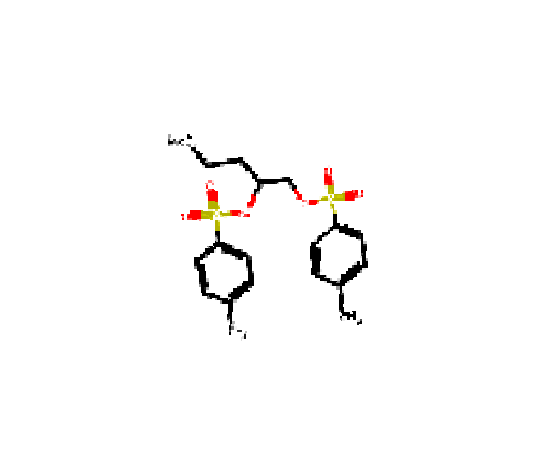 COCCC(COS(=O)(=O)c1ccc(C)cc1)OS(=O)(=O)c1ccc(C)cc1